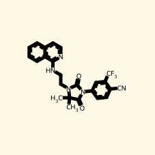 CC1(C)C(=O)N(c2ccc(C#N)c(C(F)(F)F)c2)C(=O)N1CCNc1nccc2ccccc12